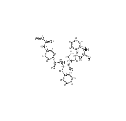 COC(=O)Nc1ccc(C(=O)NC(Cc2ccccc2)C(=O)N2CC[C@@]3(C2)OC(=O)Nc2ccccc23)cc1